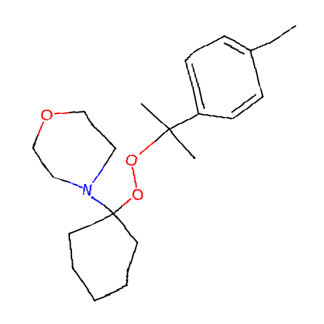 Cc1ccc(C(C)(C)OOC2(N3CCOCC3)CCCCC2)cc1